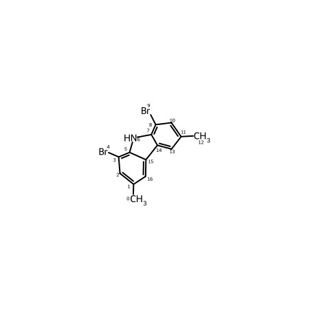 Cc1cc(Br)c2[nH]c3c(Br)cc(C)cc3c2c1